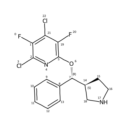 Fc1c(Cl)nc(O[C@@H](c2ccccc2)[C@H]2CCNC2)c(F)c1Cl